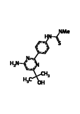 CNC(=S)Nc1ccc(-c2nc(N)cc(C(C)(C)O)n2)cc1